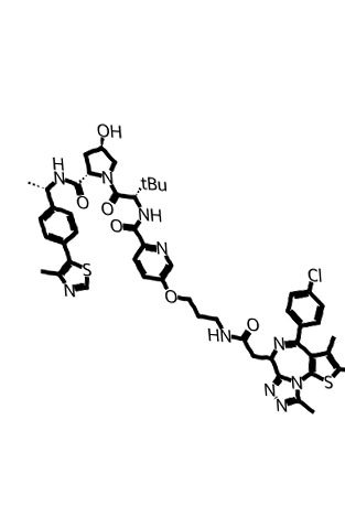 Cc1ncsc1-c1ccc([C@H](C)NC(=O)[C@@H]2C[C@@H](O)CN2C(=O)[C@@H](NC(=O)c2ccc(OCCCNC(=O)CC3N=C(c4ccc(Cl)cc4)c4c(sc(C)c4C)-n4c(C)nnc43)cn2)C(C)(C)C)cc1